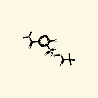 CN(C)C(=O)c1ccc(Cl)c(S(=O)(=O)NOC(=O)C(C)(C)C)c1